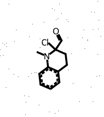 CN1c2ccccc2CCC1(Cl)C=O